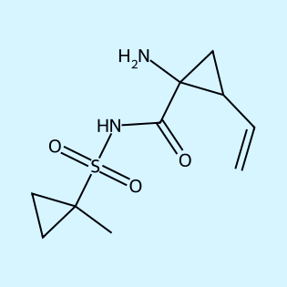 C=CC1CC1(N)C(=O)NS(=O)(=O)C1(C)CC1